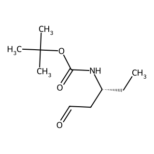 CC[C@H](CC=O)NC(=O)OC(C)(C)C